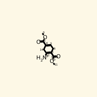 COC(=O)C1=CCC(C(=O)OC)=C(N)C1